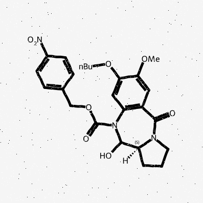 CCCCOc1cc2c(cc1OC)C(=O)N1CCC[C@H]1C(O)N2C(=O)OCc1ccc([N+](=O)[O-])cc1